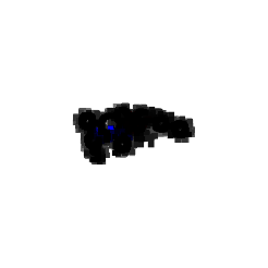 C=C1C2C(CCc3ccc4c(oc5cc(-c6ccc(-c7ccccc7)cc6)ccc54)c3-c3n(-c4c(C(C)C)cc(C(C)(C)C)cc4C(C)C)c4ccccc4[n+]31)c1ccccc1-c1ccc([Si](C)(C)C)c[n+]12